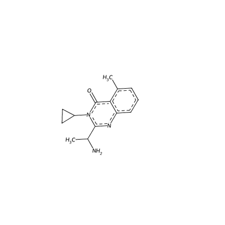 Cc1cccc2nc(C(C)N)n(C3CC3)c(=O)c12